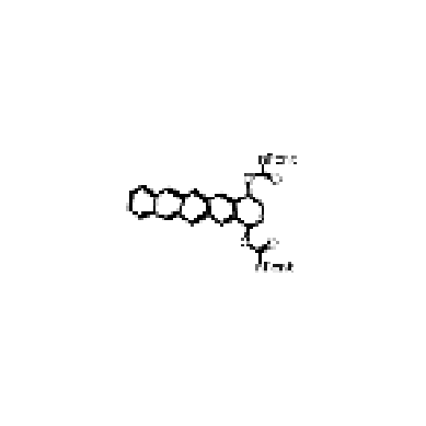 CCCCCC(=O)OC1CCC(OC(=O)CCCCC)c2cc3cc4cc5ccccc5cc4cc3cc21